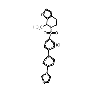 Cl.O=C(O)C1c2occc2CCN1S(=O)(=O)c1ccc(-c2ccc(-n3ccnc3)cc2)cc1